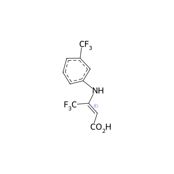 O=C(O)/C=C(/Nc1cccc(C(F)(F)F)c1)C(F)(F)F